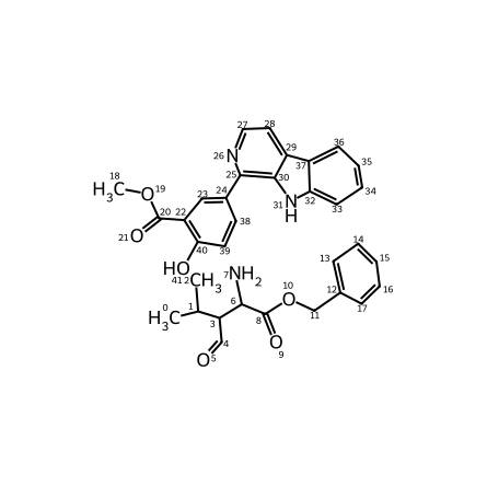 CC(C)C(C=O)C(N)C(=O)OCc1ccccc1.COC(=O)c1cc(-c2nccc3c2[nH]c2ccccc23)ccc1O